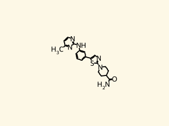 Cc1ccnc(Nc2cccc(-c3cnc(N4CCC(C(N)=O)CC4)s3)c2)n1